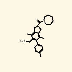 Cc1ccc(-c2c(C)c3c(c(C)c2CC(=O)O)CN(C(=O)N2CCCCCC2)C3)cc1